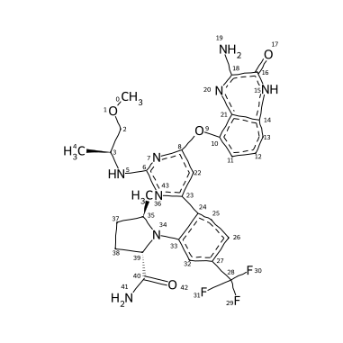 COC[C@H](C)Nc1nc(Oc2cccc3[nH]c(=O)c(N)nc23)cc(-c2ccc(C(F)(F)F)cc2N2[C@H](C)CC[C@H]2C(N)=O)n1